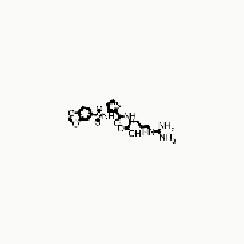 NC(N)NCCC[C@H](NC(=O)c1sccc1NS(=O)(=O)c1ccc2c(c1)OCO2)C(=O)O